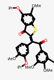 COc1ccc(C(C(=O)c2cc(OC)c(OC)c(OC)c2)=C2Sc3cc(OC)c(OC(C)C)cc3C2=O)cc1OC(C)C